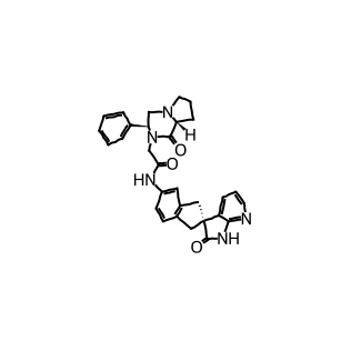 O=C(CN1C(=O)[C@H]2CCCN2C[C@@H]1c1ccccc1)Nc1ccc2c(c1)C[C@@]1(C2)C(=O)Nc2ncccc21